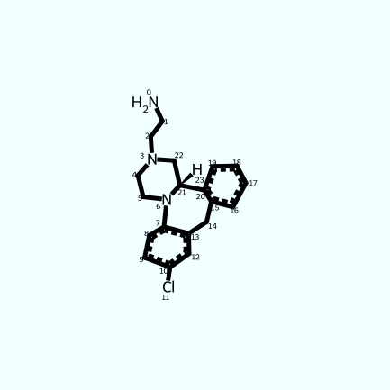 NCCN1CCN2c3ccc(Cl)cc3Cc3ccccc3[C@H]2C1